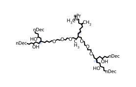 C=C(CC/C=C/C(COCCOCCOCC/C(=C/CC(O)CCCCCCCCCCCC)CC(O)CCCCCCCCCCCC)C(C)COCCOCCOCCCC/C(=C/CC(O)CCCCCCCCCCCC)CC(O)CCCCCCCCCCCC)CCN(C)CCC